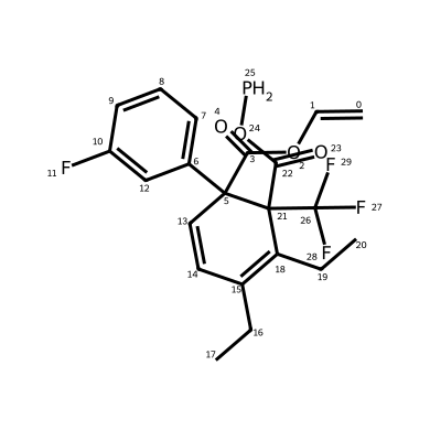 C=COC(=O)C1(c2cccc(F)c2)C=CC(CC)=C(CC)C1(C(=O)OP)C(F)(F)F